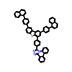 c1ccc2c(-c3ccc(-c4ccc5sc6c(-c7ccc(-c8nnc9c%10ccccc%10c%10ccccc%10n89)cc7)cc(-c7ccc(-c8cccc9ccccc89)cc7)cc6c5c4)cc3)cccc2c1